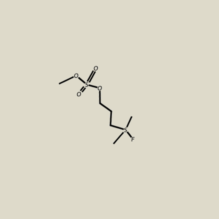 COS(=O)(=O)OCCCS(C)(C)F